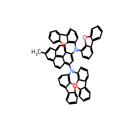 Cc1cc2ccc3c(N(c4cccc5c4oc4ccccc45)c4cccc5c4oc4ccccc45)cc(N(c4cccc5c4oc4ccccc45)c4cccc5c4oc4ccccc45)c4ccc(c1)c2c34